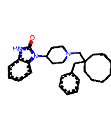 O=c1[nH]c2ccccc2n1C1CCN(CC2(Cc3ccccc3)CCCCCCC2)CC1